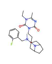 CCn1c(C)nc(=O)n(CCCN2C3CCC2CC(N(C)Cc2ccccc2F)C3)c1=O